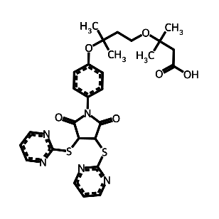 CC(C)(CC(=O)O)OCCC(C)(C)Oc1ccc(N2C(=O)C(Sc3ncccn3)C(Sc3ncccn3)C2=O)cc1